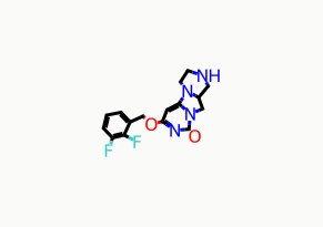 O=c1nc(OCc2cccc(F)c2F)cc2n1CC1CNCCN21